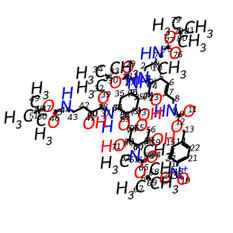 C[C@@H](CN[C@@H]1CC=C(CNC(=O)OCc2ccc([N+](=O)[O-])cc2)O[C@@H]1C1[C@@H](NC(=O)OC(C)(C)C)C[C@@H](NC(=O)[C@@H](O)CCNC(=O)OC(C)(C)C)[C@H](O[C@H]2OC[C@](C)(O)[C@H](N(C)C(=O)OC(C)(C)C)[C@H]2O)[C@H]1O)NC(=O)OC(C)(C)C